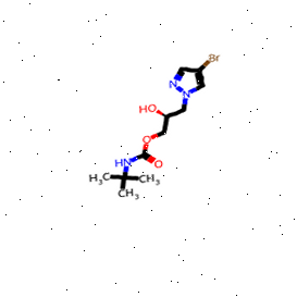 CC(C)(C)NC(=O)OC[C@@H](O)Cn1cc(Br)cn1